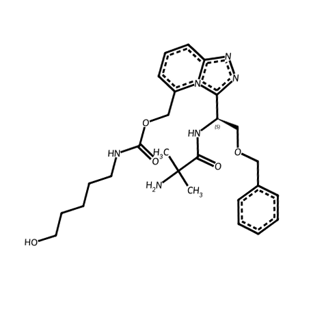 CC(C)(N)C(=O)N[C@H](COCc1ccccc1)c1nnc2cccc(COC(=O)NCCCCCO)n12